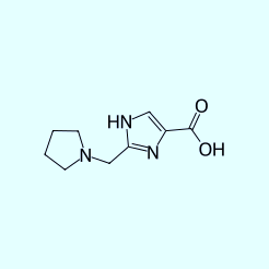 O=C(O)c1c[nH]c(CN2CCCC2)n1